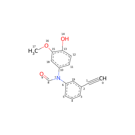 C#Cc1cccc(N(C=O)c2ccc(O)c(OC)c2)c1